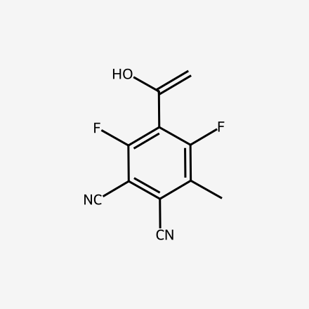 C=C(O)c1c(F)c(C)c(C#N)c(C#N)c1F